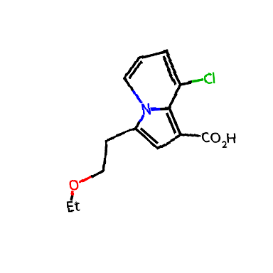 CCOCCc1cc(C(=O)O)c2c(Cl)cccn12